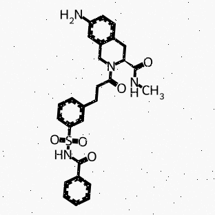 CNC(=O)[C@@H]1Cc2ccc(N)cc2CN1C(=O)CCc1cccc(S(=O)(=O)NC(=O)c2ccccc2)c1